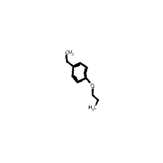 CCCOc1ccc(CC)cc1